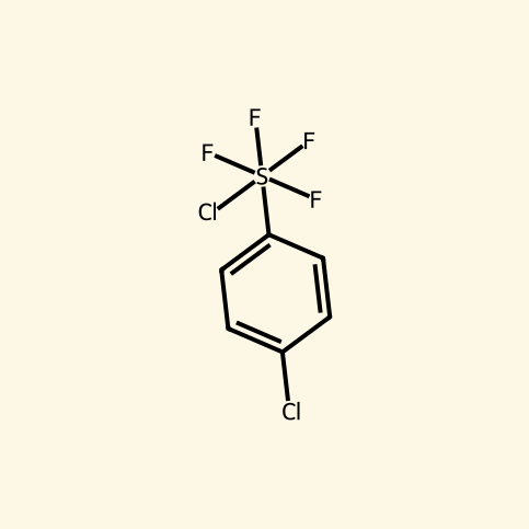 FS(F)(F)(F)(Cl)c1ccc(Cl)cc1